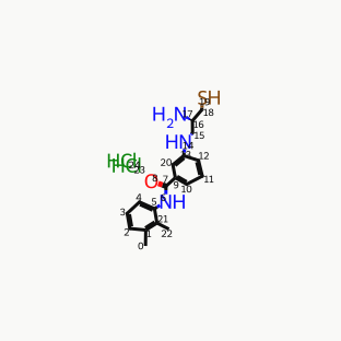 Cc1cccc(NC(=O)c2cccc(NC[C@@H](N)CS)c2)c1C.Cl.Cl